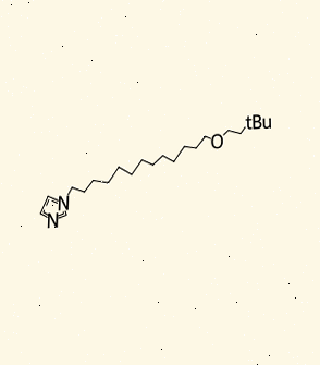 CC(C)(C)CCOCCCCCCCCCCCCCn1ccnc1